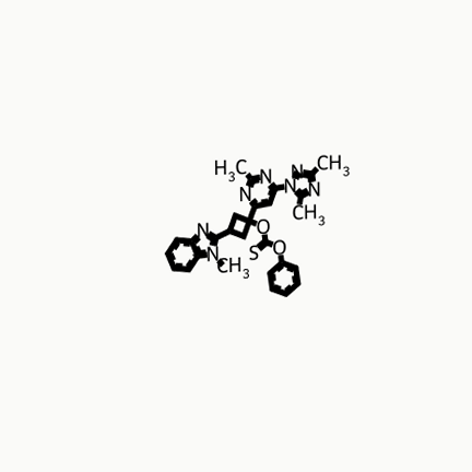 Cc1nc(-n2nc(C)nc2C)cc(C2(OC(=S)Oc3ccccc3)CC(c3nc4ccccc4n3C)C2)n1